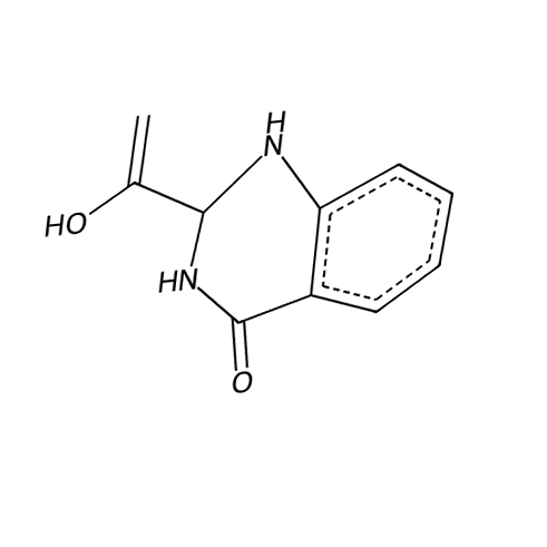 C=C(O)C1NC(=O)c2ccccc2N1